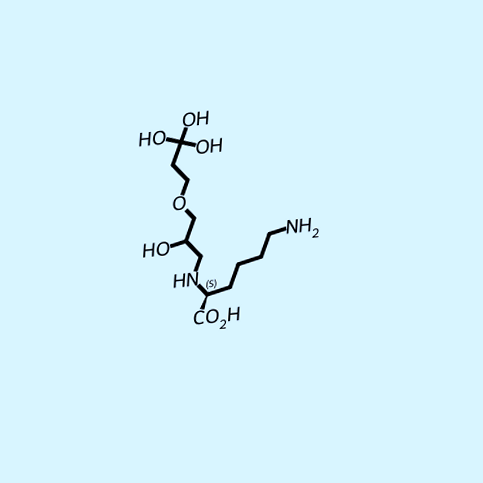 NCCCC[C@H](NCC(O)COCCC(O)(O)O)C(=O)O